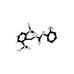 Nc1ccccc1NC(=O)OCc1c([N+](=O)[O-])cccc1[N+](=O)[O-]